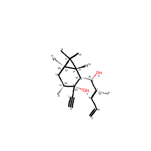 C#C[C@]1(O)[C@@H]([C@H](O)[C@H](C)CC=C)[C@@H]2[C@@H](C[C@H]1C)C2(C)C